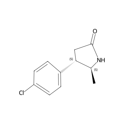 C[C@@H]1NC(=O)C[C@H]1c1ccc(Cl)cc1